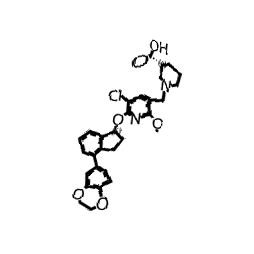 COc1nc(O[C@H]2CCc3c(-c4ccc5c(c4)OCCO5)cccc32)c(Cl)cc1CN1CCC[C@@H](C(=O)O)C1